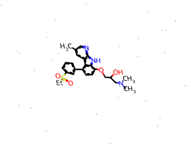 CCS(=O)(=O)c1cccc(-c2ccc(OCC(O)CN(C)C)c3[nH]c4ncc(C)cc4c23)c1